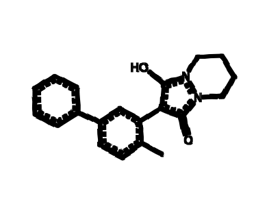 Cc1ccc(-c2ccccc2)cc1-c1c(O)n2n(c1=O)CCCC2